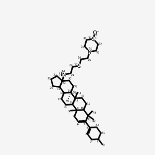 CC1CC=C(C2=CCC3(C)C(CCC4(C)C3CCC3C5CCCC5(NCCSCCN5CC[S+]([O-])CC5)CC[C@]34C)C2(C)C)CC1